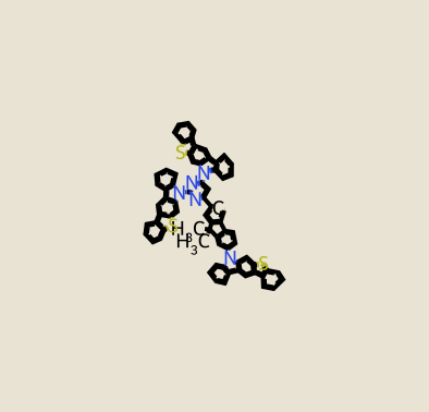 CC1(C)c2cc(-c3cc(-n4c5ccccc5c5cc6c(cc54)sc4ccccc46)nc(-n4c5ccccc5c5cc6c(cc54)sc4ccccc46)n3)ccc2-c2ccc(-n3c4ccccc4c4cc5c(cc43)sc3ccccc35)cc21